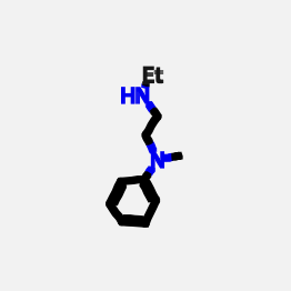 CCNCCN(C)c1ccccc1